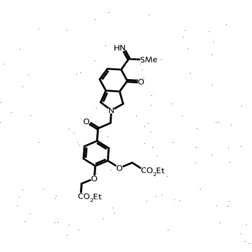 CCOC(=O)COc1ccc(C(=O)CN2C=C3C=CC(C(=N)SC)C(=O)C3C2)cc1OCC(=O)OCC